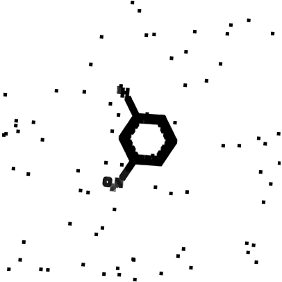 [2H]c1cccc([N+](=O)[O-])c1